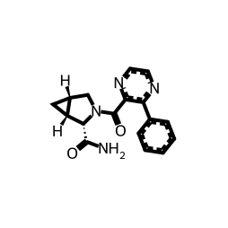 NC(=O)[C@@H]1[C@@H]2C[C@@H]2CN1C(=O)c1nccnc1-c1ccccc1